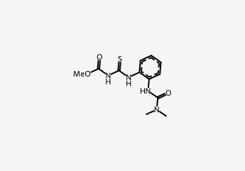 COC(=O)NC(=S)Nc1ccccc1NC(=O)N(C)C